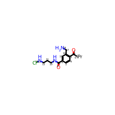 CC(C)C(=O)c1ccc(C(=O)NCCCNCl)cc1CN